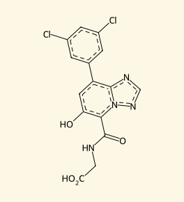 O=C(O)CNC(=O)c1c(O)cc(-c2cc(Cl)cc(Cl)c2)c2ncnn12